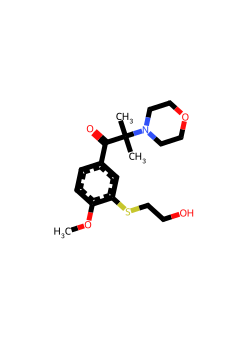 COc1ccc(C(=O)C(C)(C)N2CCOCC2)cc1SCCO